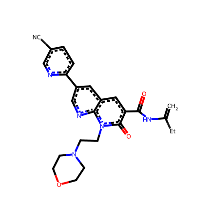 C=C(CC)NC(=O)c1cc2cc(-c3ccc(C#N)cn3)cnc2n(CCN2CCOCC2)c1=O